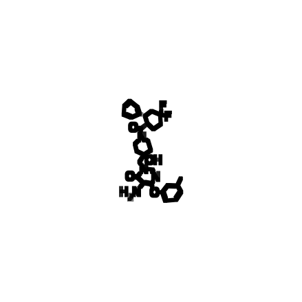 Cc1cccc(Oc2ncn(CC3(O)CCN(C(=O)[C@@H]4CCC(F)(F)C[C@H]4c4ccccc4)CC3)c(=O)c2N)c1